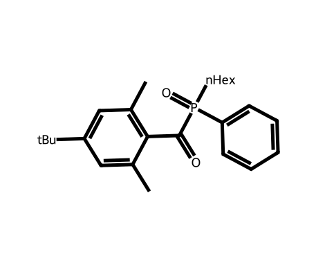 CCCCCCP(=O)(C(=O)c1c(C)cc(C(C)(C)C)cc1C)c1ccccc1